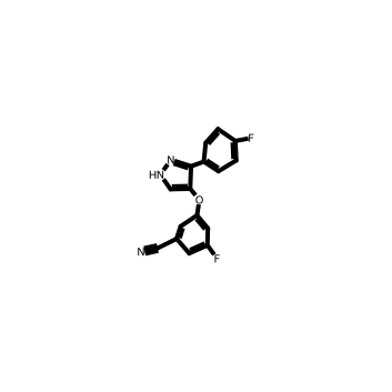 N#Cc1cc(F)cc(Oc2c[nH]nc2-c2ccc(F)cc2)c1